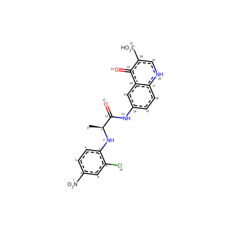 C[C@H](Nc1ccc([N+](=O)[O-])cc1Cl)C(=O)Nc1ccc2[nH]cc(C(=O)O)c(=O)c2c1